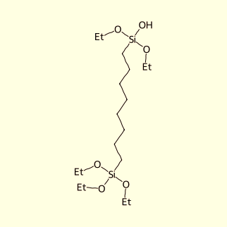 CCO[Si](O)(CCCCCCCC[Si](OCC)(OCC)OCC)OCC